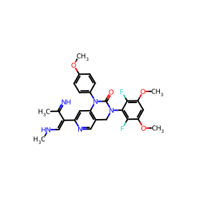 CN/C=C(\C(C)=N)c1cc2c(cn1)CN(c1c(F)c(OC)cc(OC)c1F)C(=O)N2c1ccc(OC)cc1